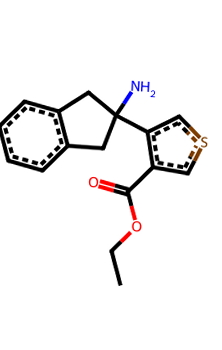 CCOC(=O)c1cscc1C1(N)Cc2ccccc2C1